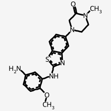 COc1ccc(N)cc1Nc1nc2cc(N3CCN(C)C(=O)C3)ccc2s1